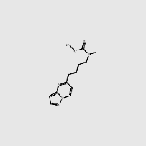 CC(C)OC(=O)N(C)CCCCc1ccn2nccc2n1